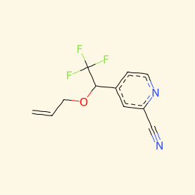 C=CCOC(c1ccnc(C#N)c1)C(F)(F)F